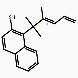 C=C/C=C(\C)C(C)(C)c1c(S)ccc2ccccc12